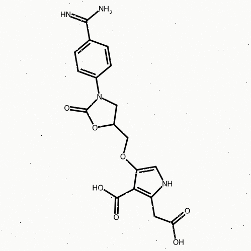 N=C(N)c1ccc(N2CC(COc3c[nH]c(CC(=O)O)c3C(=O)O)OC2=O)cc1